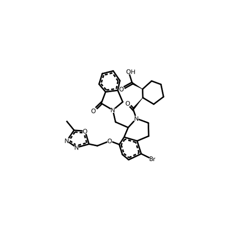 Cc1nnc(COc2ccc(Br)c3c2C(CN2Cc4ccccc4C2=O)N(C(=O)[C@@H]2CCCC[C@@H]2C(=O)O)CC3)o1